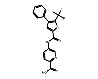 O=C(O)c1ccc(NC(=O)c2cc(-c3ccccc3)c(C(F)(F)F)s2)cn1